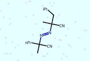 CCCC(C)(C#N)N=NC(C)(C#N)CC(C)C